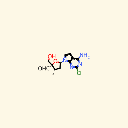 C[C@H]1C[C@H](n2ccc3c(N)nc(Cl)nc32)O[C@]1(C=O)CO